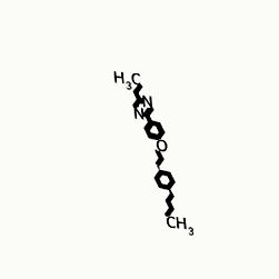 CCCCC[C@H]1CC[C@H](CCCOc2ccc(-c3cnc(CCC)cn3)cc2)CC1